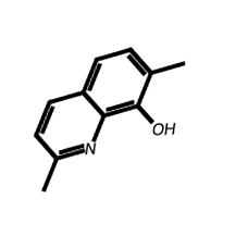 Cc1ccc2ccc(C)c(O)c2n1